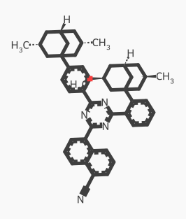 CC[C@H]1C[C@H]2C[C@@H](C)CC(c3ccccc3-c3nc(-c4ccc(C56C[C@H](C)C[C@H](C[C@H](C)C5)C6)cc4)nc(-c4cccc5c(C#N)cccc45)n3)(C2)C1